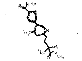 COC(=O)C(C)(C)CCc1cc(C)c(-c2ccc(C(=N)N)cc2)cn1